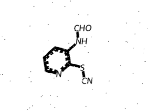 N#CSc1ncccc1NC=O